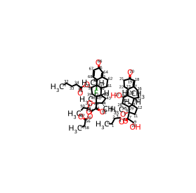 CCCC(=O)O[C@]1(C(=O)CO)CC[C@H]2[C@@H]3CCC4=CC(=O)CC[C@]4(C)[C@H]3[C@@H](O)C[C@@]21C.CCCCC(=O)O[C@H]1C[C@@]2(C)[C@@H](C[C@H](C)[C@]2(OC(=O)CC)C(=O)COC(=O)CC)[C@@H]2CCC3=CC(=O)C=C[C@]3(C)C12F